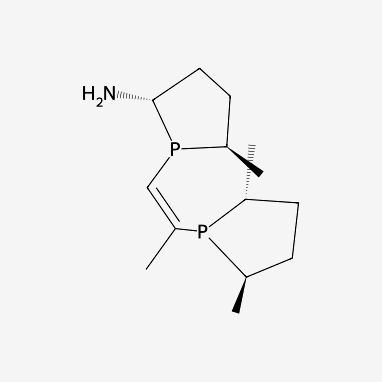 C/C(=C/P1[C@H](C)CC[C@H]1N)P1[C@H](C)CC[C@H]1C